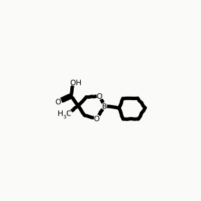 CC1(C(=O)O)COB(C2CCCCC2)OC1